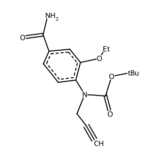 C#CCN(C(=O)OC(C)(C)C)c1ccc(C(N)=O)cc1OCC